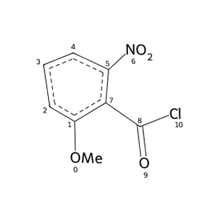 COc1cccc([N+](=O)[O-])c1C(=O)Cl